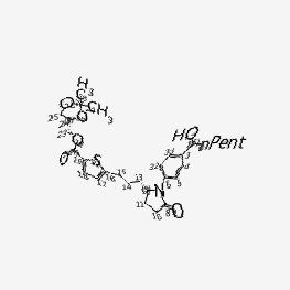 CCCCC[C@H](O)c1ccc(N2C(=O)CC[C@@H]2CCCc2ccc(C(=O)OC[C@@H]3COC(C)(C)O3)s2)cc1